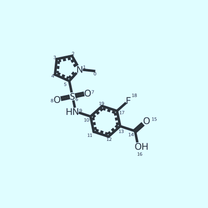 Cn1cccc1S(=O)(=O)Nc1ccc(C(=O)O)c(F)c1